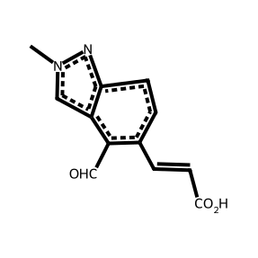 Cn1cc2c(C=O)c(/C=C/C(=O)O)ccc2n1